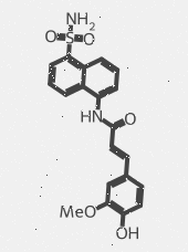 COc1cc(/C=C/C(=O)Nc2cccc3c(S(N)(=O)=O)cccc23)ccc1O